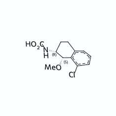 CO[C@H]1c2c(Cl)cccc2CC[C@H]1NC(=O)O